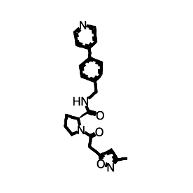 Cc1cc(CC(=O)N2CCC[C@H]2C(=O)NCc2ccc(-c3ccncc3)cc2)on1